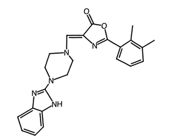 Cc1cccc(C2=NC(=CN3CCN(c4nc5ccccc5[nH]4)CC3)C(=O)O2)c1C